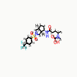 CC(CCC(=O)N[C@H]1CC[C@H]2CN(S(=O)(=O)c3ccc(C(F)(F)F)cc3)C[C@H]21)N(C)C(=O)O